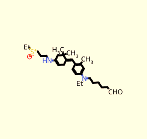 CCN(CCCCCC=O)c1ccc(/C=C2\CC=C(NCCC[S+]([O-])CC)CC2(C)C)c(C)c1